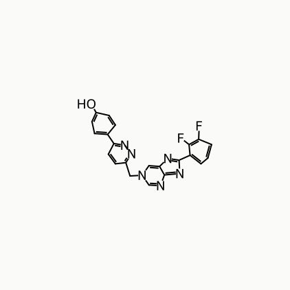 Oc1ccc(-c2ccc(Cn3cnc4nc(-c5cccc(F)c5F)nc-4c3)nn2)cc1